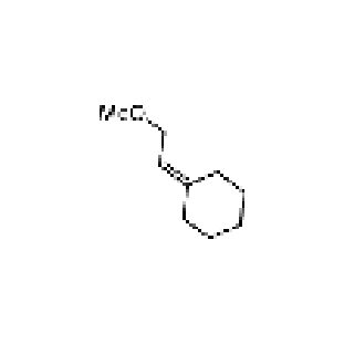 COCC=C1CCCCC1